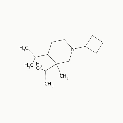 CC(C)C1CCN(C2CCC2)CC1(C)C(C)C